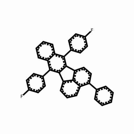 Fc1ccc(-c2c3c(c(-c4ccc(F)cc4)c4ccccc24)-c2ccc(-c4ccccc4)c4cccc-3c24)cc1